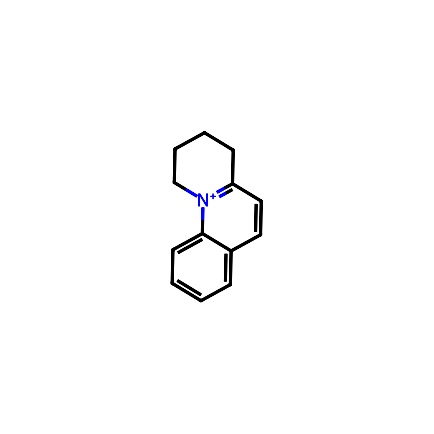 c1ccc2c(c1)ccc1[n+]2CCCC1